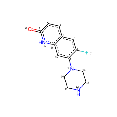 O=c1ccc2cc(F)c(N3CCNCC3)cc2[nH]1